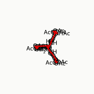 CC(=O)N[C@H]1[C@H](OCCOCCOCCOCC(=O)NCCCC[C@H](NC(=O)COCCOCCOCCO[C@@H]2O[C@H](COC(C)=O)[C@H](OC(C)=O)[C@H](OC(C)=O)[C@H]2NC(C)=O)C(=O)N[C@@H](CCCCNC(=O)COCCOCCOCCO[C@H]2C[C@@H](OC(C)=O)[C@@H](OC(C)=O)[C@@H](COC(C)=O)O2)C(=O)O)O[C@H](COC(C)=O)[C@H](OC(C)=O)[C@@H]1OC(C)=O